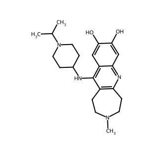 CC(C)N1CCC(Nc2c3c(nc4cc(O)c(O)cc24)CCN(C)CC3)CC1